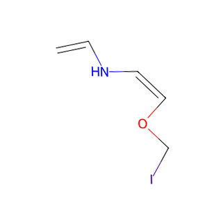 C=CN/C=C\OCI